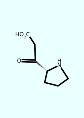 O=C(O)CC(=O)[C@H]1CCCN1